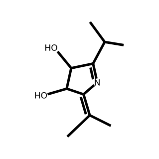 CC(C)=C1N=C(C(C)C)C(O)C1O